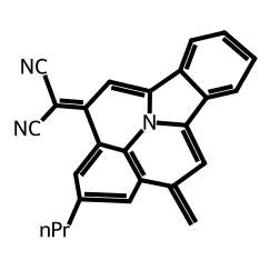 C=c1cc2c3ccccc3c3cc(=C(C#N)C#N)c4cc(CCC)cc1c4n23